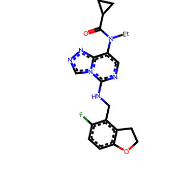 CCN(C(=O)C1CC1)c1cnc(NCc2c(F)ccc3c2CCO3)n2cnnc12